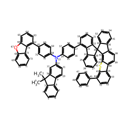 CC1(C)c2ccccc2-c2ccc(N(c3ccc(-c4cccc5c4-c4ccccc4C54c5ccccc5-c5ccc6c(sc7c(-c8ccccc8)cccc76)c54)cc3)c3ccc(-c4cccc5oc6ccccc6c45)cc3)cc21